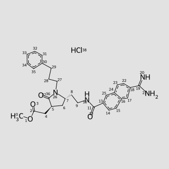 COC(=O)C[C@@H]1C[C@@H](CCNC(=O)c2ccc3cc(C(=N)N)ccc3c2)N(CCCc2ccccc2)C1=O.Cl